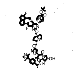 C#Cc1c(F)ccc2cccc(-c3ncc4c(N5CC6CCCC5CN6C(=O)OC(C)(C)C)nc(OC[C@@]56CCCN5[C@H](COc5cc(C(C(=O)N7C[C@H](O)C[C@H]7C(=O)N[C@@H](C)c7ccc(-c8scnc8C)cc7)C(C)C)on5)CC6)nc4c3F)c12